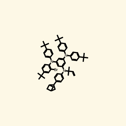 C=CC(C)(C)N(c1ccc(C2CC3CC2C3)cc1)c1cc(N(c2ccc(C(C)(C)C)cc2)c2ccc(C(C)(C)C)cc2)cc(N(c2ccc(C(C)(C)C)cc2)c2ccc(C(C)(C)C)cc2Br)c1